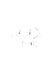 CC(C)(C)N(C(=O)O)c1cccnc1[N+](=O)[O-]